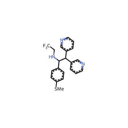 CSc1ccc(C(NCC(F)(F)F)C(c2cccnc2)c2cccnc2)cc1